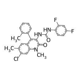 Cc1cc2c(-c3ccccc3C)c(NC(=O)Nc3ccc(F)cc3F)c(=O)n(C)c2cc1Cl